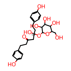 O=C(CCc1ccc(O)cc1)C[C@](O)(CCc1ccc(O)cc1)OC1OC(CO)C(O)C(O)C1O